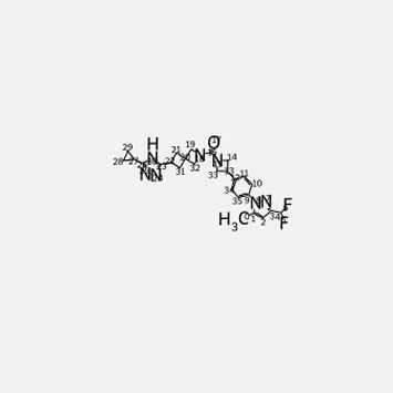 Cc1cc(C(F)F)nn1-c1ccc(C2CN(C(=O)N3CC4(CC(c5nnc(C6CC6)[nH]5)C4)C3)C2)cc1